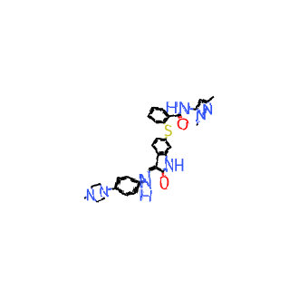 Cc1cc(NC(=O)c2ccccc2Sc2ccc3c(c2)NC(=O)C3=CNc2ccc(N3CCN(C)CC3)cc2)n(C)n1